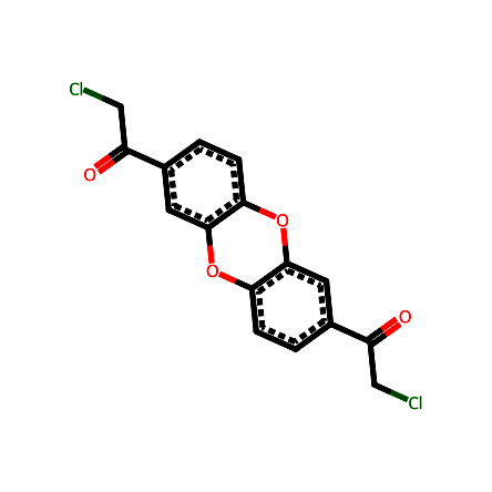 O=C(CCl)c1ccc2c(c1)Oc1ccc(C(=O)CCl)cc1O2